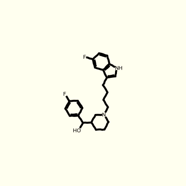 OC(c1ccc(F)cc1)C1CCCN(CCCCc2c[nH]c3ccc(F)cc23)C1